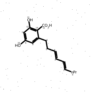 CCCC=CC=CCCc1cc(O)cc(O)c1C(=O)O